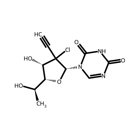 C#CC1(Cl)[C@@H](O)[C@@H]([C@@H](C)O)O[C@H]1n1cnc(=O)[nH]c1=O